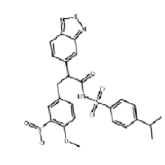 COc1ccc(CC(C(=O)NS(=O)(=O)c2ccc(C(C)C)cc2)c2ccc3nsnc3c2)cc1[N+](=O)[O-]